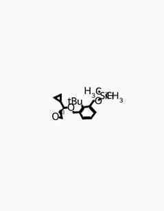 C[SiH](C)OCc1cccc(COC(C2CC2)[C@H]2CO2)c1C(C)(C)C